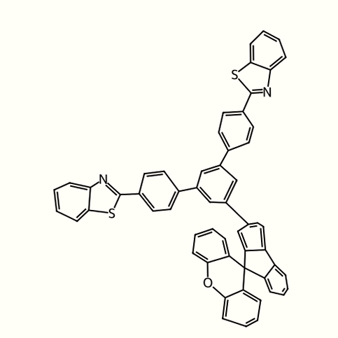 c1ccc2c(c1)Oc1ccccc1C21c2ccccc2-c2ccc(-c3cc(-c4ccc(-c5nc6ccccc6s5)cc4)cc(-c4ccc(-c5nc6ccccc6s5)cc4)c3)cc21